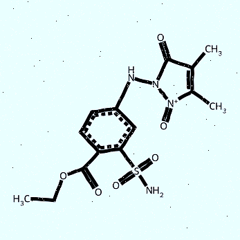 CCOC(=O)c1ccc(NN2C(=O)C(C)=C(C)[N+]2=O)cc1S(N)(=O)=O